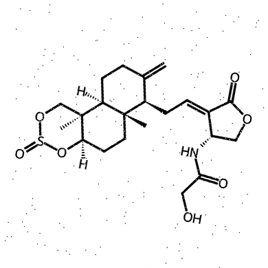 C=C1CC[C@@H]2[C@]3(C)COS(=O)O[C@@H]3CC[C@@]2(C)[C@@H]1C/C=C1/C(=O)OC[C@@H]1NC(=O)CO